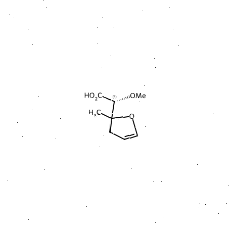 CO[C@@H](C(=O)O)C1(C)CC=CO1